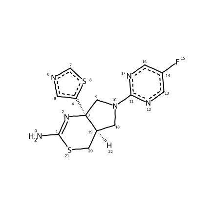 NC1=N[C@@]2(c3cncs3)CN(c3ncc(F)cn3)C[C@H]2CS1